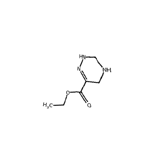 CCOC(=O)C1=NNCNC1